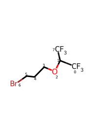 FC(F)(F)C(OCCCBr)C(F)(F)F